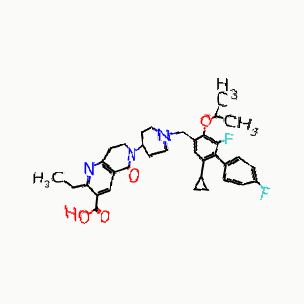 CCc1nc2c(cc1C(=O)O)C(=O)N(C1CCN(Cc3cc(C4CC4)c(-c4ccc(F)cc4)c(F)c3OC(C)C)CC1)CC2